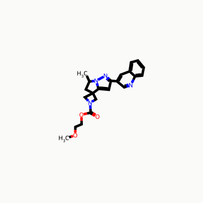 COCCOC(=O)N1CC2(CC(C)n3nc(-c4cnc5ccccc5c4)cc32)C1